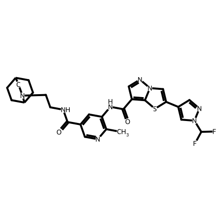 Cc1ncc(C(=O)NCCN2CC3CCC2CC3)cc1NC(=O)c1cnn2cc(-c3cnn(C(F)F)c3)sc12